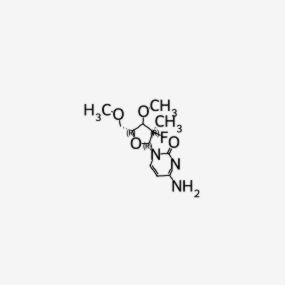 COC[C@H]1O[C@@H](n2ccc(N)nc2=O)[C@](C)(F)C1OC